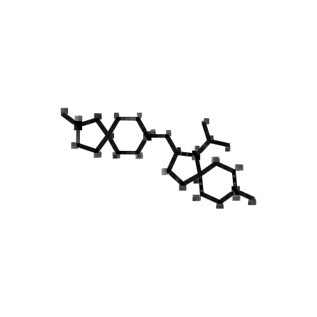 CC(C)N1C(CN2CCC3(CCN(C)C3)CC2)CCC12CCN(C)CC2